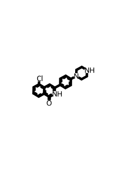 O=c1[nH]c(-c2ccc(N3CCNCC3)cc2)cc2c(Cl)cccc12